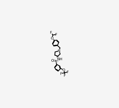 [O-][S@+](N[C@@H]1CCN(Cc2ccc(OC(F)F)cc2)C1)c1cccc(OC(F)(F)F)c1